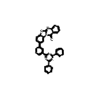 O=c1c2ccccc2nc2sc3ccc(-c4cccc(-c5nc(-c6ccccc6)nc(-c6ccccc6)n5)c4)cc3n12